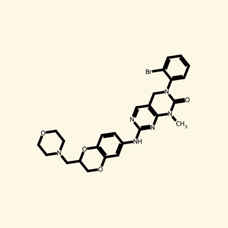 CN1C(=O)N(c2ccccc2Br)Cc2cnc(Nc3ccc4c(c3)OCC(CN3CCOCC3)O4)nc21